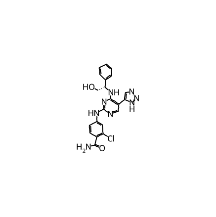 NC(=O)c1ccc(Nc2ncc(-c3cnn[nH]3)c(N[C@H](CO)c3ccccc3)n2)cc1Cl